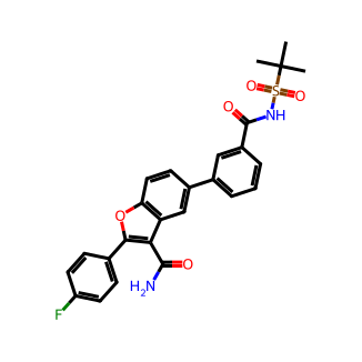 CC(C)(C)S(=O)(=O)NC(=O)c1cccc(-c2ccc3oc(-c4ccc(F)cc4)c(C(N)=O)c3c2)c1